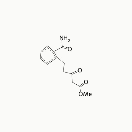 COC(=O)CC(=O)CCc1ccccc1C(N)=O